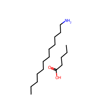 CCCCC(=O)O.CCCCCCCCCCCCN